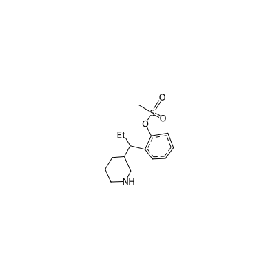 CCC(c1ccccc1OS(C)(=O)=O)C1CCCNC1